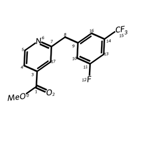 COC(=O)c1ccnc(Cc2cc(F)cc(C(F)(F)F)c2)c1